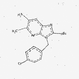 CCCCc1nc2cc(N)c(C)nc2n1Cc1ccc(Cl)cc1